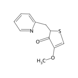 COC1=CSC(Cc2ccccn2)C1=O